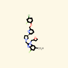 O=C(O)c1cc(F)c2nc(CN3CC[C@@H](c4cccc(COc5ccc(Cl)cc5F)n4)C3)n(CC3CCO3)c2c1